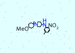 COC1CCC(C)(N2CCC(Nc3cc(C)ccc3[N+](=O)[O-])CC2)CC1